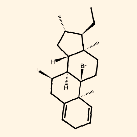 CC[C@@H]1[C@@H](C)C[C@H]2[C@@H]3[C@H](I)CC4=CCC=C[C@]4(C)[C@@]3(Br)CC[C@]12C